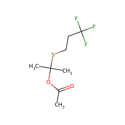 CC(=O)OC(C)(C)SCCC(F)(F)F